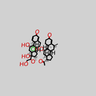 CC(=O)[C@H]1CC[C@H]2[C@@H]3C[C@H](C)C4=CC(=O)CC[C@]4(C)[C@H]3[C@@H](O)C[C@]12C.C[C@H]1C[C@H]2[C@@H]3CCC4=CC(=O)C=C[C@]4(C)[C@@]3(Cl)[C@@H](O)C[C@]2(C)[C@@]1(O)C(=O)CO